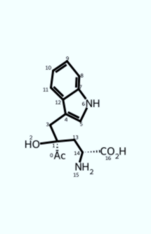 CC(=O)[C@](O)(Cc1c[nH]c2ccccc12)C[C@@H](N)C(=O)O